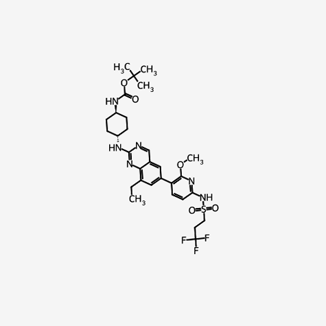 CCc1cc(-c2ccc(NS(=O)(=O)CCC(F)(F)F)nc2OC)cc2cnc(N[C@H]3CC[C@H](NC(=O)OC(C)(C)C)CC3)nc12